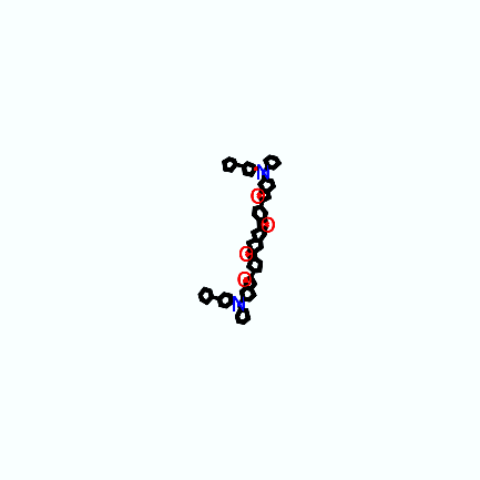 c1ccc(-c2ccc(N(c3ccccc3)c3ccc4cc(-c5ccc6c(c5)oc5cc7cc8c(cc7cc56)oc5cc(-c6cc7ccc(N(c9ccccc9)c9ccc(-c%10ccccc%10)cc9)cc7o6)ccc58)oc4c3)cc2)cc1